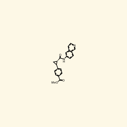 COC(=O)c1ccc(C2C[C@H]2C(=O)Nc2ccc3cnccc3c2)cc1